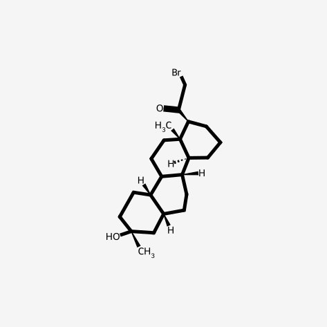 C[C@@]1(O)CC[C@@H]2C3CC[C@]4(C)[C@@H](C(=O)CBr)CCC[C@H]4[C@@H]3CC[C@@H]2C1